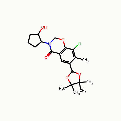 Cc1c(B2OC(C)(C)C(C)(C)O2)cc2c(c1Cl)OCN(C1CCCC1O)C2=O